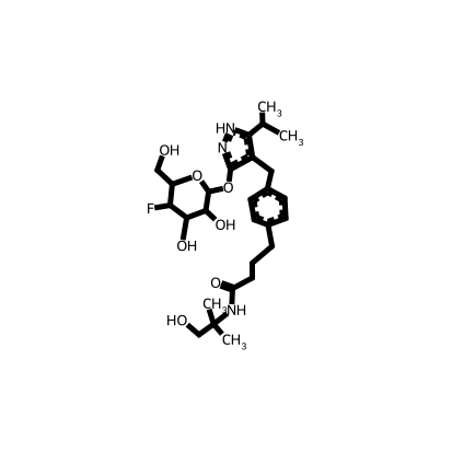 CC(C)c1[nH]nc(OC2OC(CO)C(F)C(O)C2O)c1Cc1ccc(CCCC(=O)NC(C)(C)CO)cc1